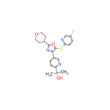 CC(C)(O)c1ccc(-c2nc(C3CCOCC3)oc2Sc2ccc(F)cn2)cn1